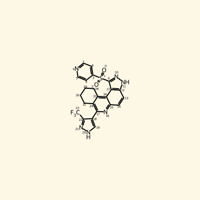 O=S(=O)(c1ccncc1)c1n[nH]c2ccc3nc(-c4c[nH]nc4C(F)(F)F)c4c(c3c12)CCCC4